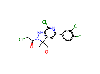 CC(CO)(c1cc(Cl)nc(-c2ccc(F)c(Cl)c2)c1)N(N)C(=O)CCl